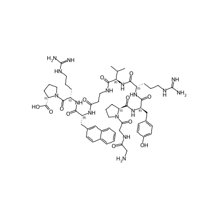 CC(C)[C@@H](NC(=O)[C@H](CCCNC(=N)N)NC(=O)[C@@H](Cc1ccc(O)cc1)NC(=O)[C@@H]1CCCN1C(=O)CNC(=O)CN)C(=O)NCCC(=O)N[C@H](Cc1ccc2ccccc2c1)C(=O)N[C@@H](CCCNC(=N)N)C(=O)N1CCC[C@H]1C(=O)O